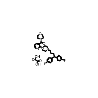 O=C(O)C(=O)O.O=C(c1cccnc1N1CCN(CCCC(c2ccc(F)cc2)c2ccc(F)cc2)CC1)N1CCOCC1